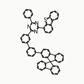 c1ccc(-c2nc(-c3cccc(-c4cccc(-c5ccc6c(c5)C5(c7ccccc7-c7ccccc75)c5ccccc5-6)c4)c3)nc(-c3cccc4c3sc3ccccc34)n2)cc1